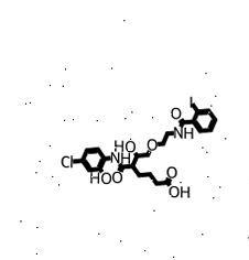 O=C(O)CCCC(C(=O)Nc1ccc(Cl)cc1O)C(O)COCCNC(=O)c1ccccc1I